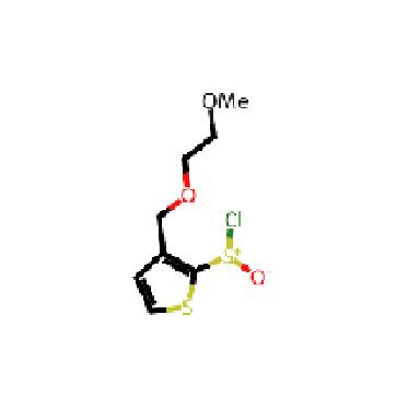 COCCOCc1ccsc1[S+]([O-])Cl